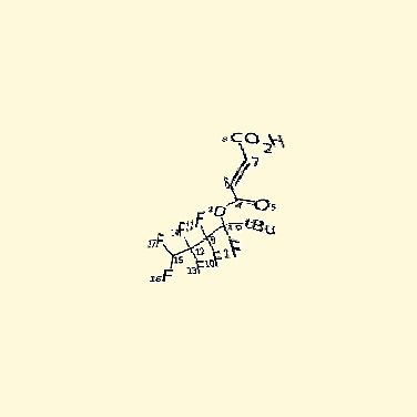 CC(C)(C)C(F)(OC(=O)C=CC(=O)O)C(F)(F)C(F)(F)C(F)F